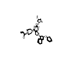 C=CC(=O)N1CCN(c2nc(OC[C@@H]3C[C@@H](F)CN3C)nc3c2CCN(c2cc(Oc4ccccc4)cc4ccccc24)C3)CC1